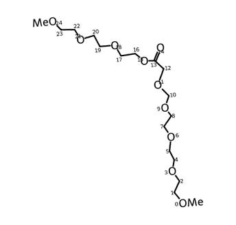 COCCOCCOCCOCOCC(=O)OCCOCCOCCOC